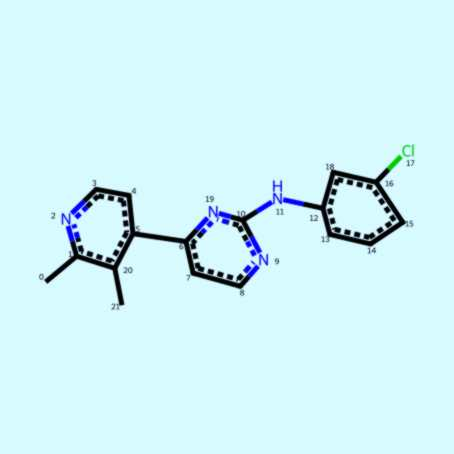 Cc1nccc(-c2ccnc(Nc3cccc(Cl)c3)n2)c1C